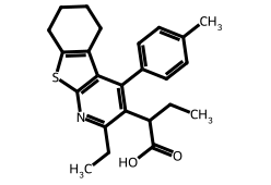 CCc1nc2sc3c(c2c(-c2ccc(C)cc2)c1C(CC)C(=O)O)CCCC3